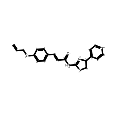 C=CCOc1ccc(/C=C/C(=O)NC2=NC(c3ccncc3)CS2)cc1